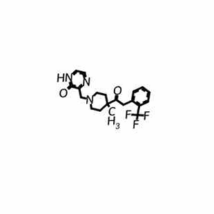 CC1(C(=O)Cc2ccccc2C(F)(F)F)CCN(Cc2ncc[nH]c2=O)CC1